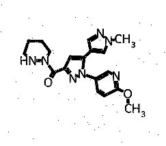 COc1ccc(-n2nc(C(=O)N3CCCCN3)cc2-c2cnn(C)c2)cn1